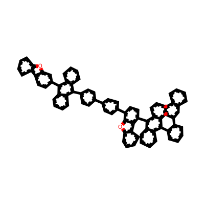 c1ccc(-c2c3ccccc3c(-c3ccc(-c4ccc(-c5ccc(-c6c7ccccc7c(-c7ccc8c(c7)oc7ccccc78)c7ccccc67)cc5)cc4)c4oc5ccccc5c34)c3ccccc23)c(-c2ccc3ccccc3c2)c1